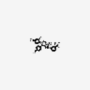 O=C(Nc1cccc(C(F)(F)F)c1)N1CCN(c2ccc(Cl)cc2Cl)C(c2ccc(Cl)cc2)C1